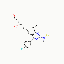 CSN(C)c1nc(-c2ccc(F)cc2)c(/C=C/CCC(O)CC=O)c(C(C)C)n1